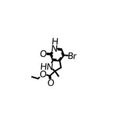 CCOC(=O)C1(C)Cc2c(Br)c[nH]c(=O)c2N1